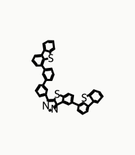 c1cc(-c2cccc(-c3ncnc4c3sc3ccc(-c5cccc6c5sc5ccccc56)cc34)c2)cc(-c2cccc3c2sc2ccccc23)c1